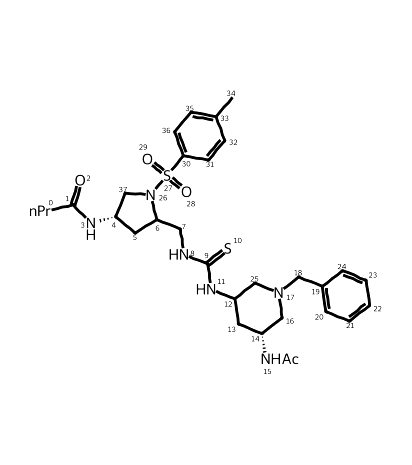 CCCC(=O)N[C@H]1CC(CNC(=S)NC2C[C@@H](NC(C)=O)CN(Cc3ccccc3)C2)N(S(=O)(=O)c2ccc(C)cc2)C1